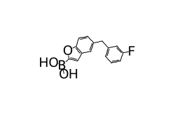 OB(O)c1cc2cc(Cc3cccc(F)c3)ccc2o1